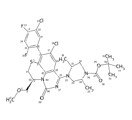 COC[C@H]1CSc2c(-c3cc(Cl)c(F)cc3F)c(Cl)cc3c(N4CC(C)N(C(=O)OC(C)(C)C)CC4C)nc(=O)n1c23